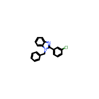 Clc1cccc(-c2nc3ccccc3n2Cc2ccccc2)c1